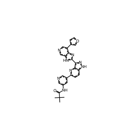 CC(C)(C)C(=O)Nc1cncc(-c2ccc3[nH]nc(-c4nc5c(-c6ccoc6)cncc5[nH]4)c3n2)c1